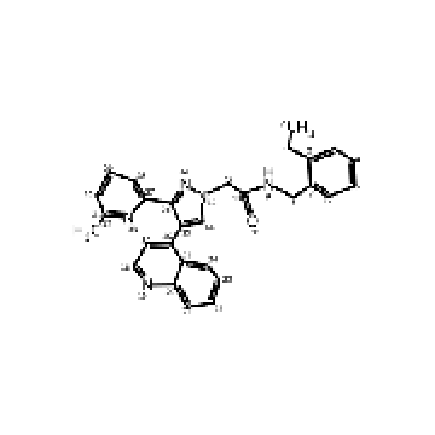 CCc1ccccc1CNC(=O)Cn1cc(-c2ccnc3ccccc23)c(-c2cccc(C)n2)n1